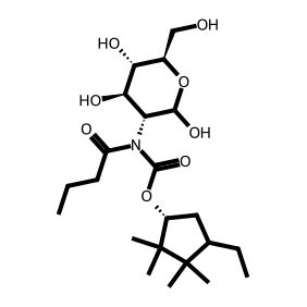 CCCC(=O)N(C(=O)O[C@@H]1CC(CC)C(C)(C)C1(C)C)[C@H]1C(O)O[C@H](CO)[C@@H](O)[C@@H]1O